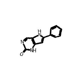 O=c1ncc2[nH]c(-c3ccccc3)cc2[nH]1